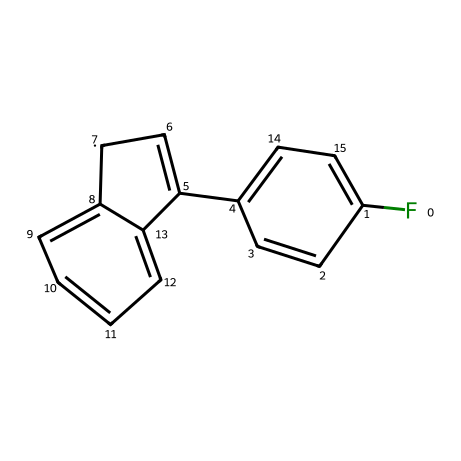 Fc1ccc(C2=C[CH]c3ccccc32)cc1